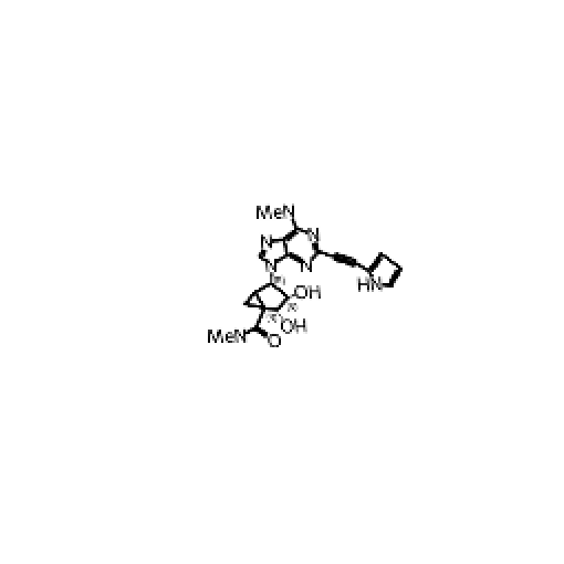 CNC(=O)C12CC1[C@@H](n1cnc3c(NC)nc(C#Cc4ccc[nH]4)nc31)[C@H](O)[C@@H]2O